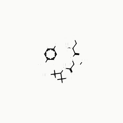 CC1(C)SC(C)(C)C1NC(=O)[C@@H](CO)NC(=O)[C@@H](N)CC(=O)O.Cc1ccc(S(=O)(=O)O)cc1